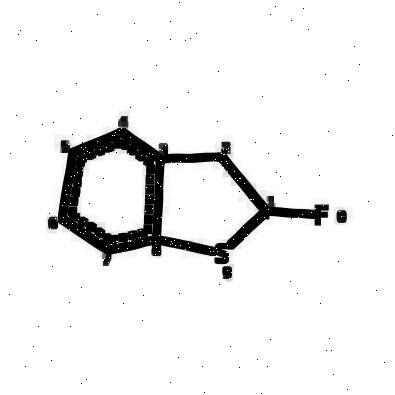 F[C]1Cc2ccccc2S1